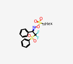 CCCCCCS(=O)(=O)ON=C(c1ccccc1)C(F)(F)S(=O)(=O)c1ccccc1